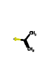 C=C(C)[S]